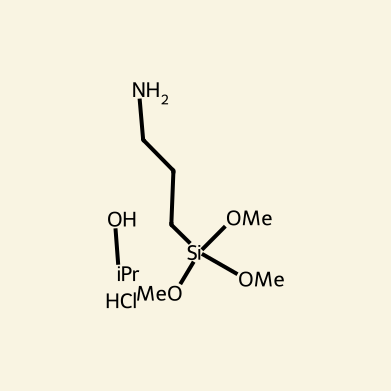 CC(C)O.CO[Si](CCCN)(OC)OC.Cl